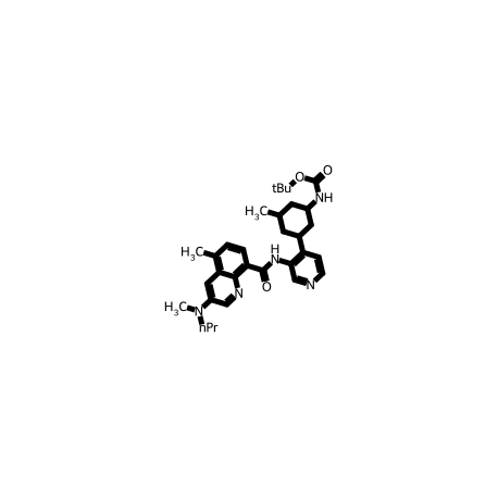 CCCN(C)c1cnc2c(C(=O)Nc3cnccc3C3CC(C)CC(NC(=O)OC(C)(C)C)C3)ccc(C)c2c1